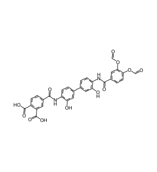 O=COc1ccc(C(=O)Nc2ccc(-c3ccc(NC(=O)c4ccc(C(=O)O)c(C(=O)O)c4)c(O)c3)cc2O)cc1OC=O